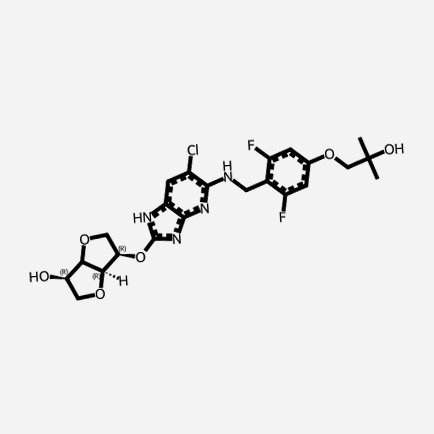 CC(C)(O)COc1cc(F)c(CNc2nc3nc(O[C@@H]4COC5[C@H](O)CO[C@@H]54)[nH]c3cc2Cl)c(F)c1